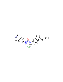 Cl.O=C(O)CC1CCc2cc(N3CCN(CCC4CCNCC4)C3=O)ccc21